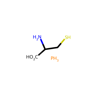 NC(CS)C(=O)O.P